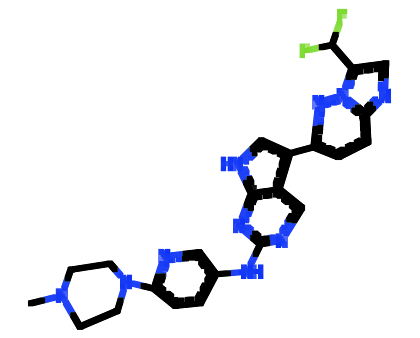 CN1CCN(c2ccc(Nc3ncc4c(-c5ccc6ncc(C(F)F)n6n5)c[nH]c4n3)cn2)CC1